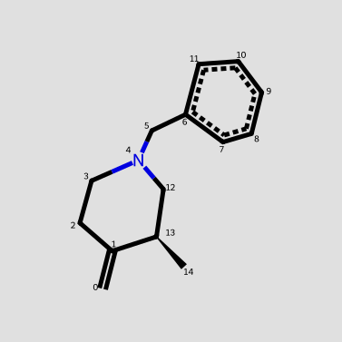 C=C1CCN(Cc2ccccc2)C[C@H]1C